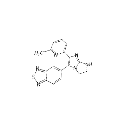 Cc1cccc(-c2nc3n(c2-c2ccc4nsnc4c2)CCN3)n1